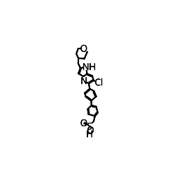 O=[SH](=O)Cc1ccc(-c2ccc(-c3nc4cc(CC5CCOCC5)[nH]c4cc3Cl)cc2)cc1